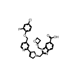 O=C(O)c1ccc2nc(CN3CC=C(c4cc(COc5ccc(Cl)cc5F)ccn4)C3)n(C[C@@H]3CCO3)c2c1